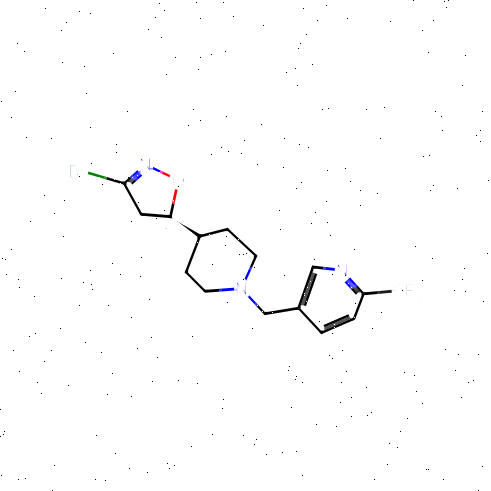 FC(F)(F)c1ccc(CN2CCC([C@H]3CC(Br)=NO3)CC2)cn1